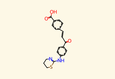 O=C(O)c1ccc(/C=C/C(=O)c2ccc(NC3=NCCCS3)cc2)cc1